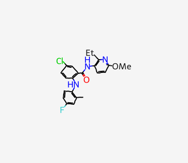 CCc1nc(OC)ccc1NC(=O)c1cc(Cl)ccc1Nc1ccc(F)cc1C